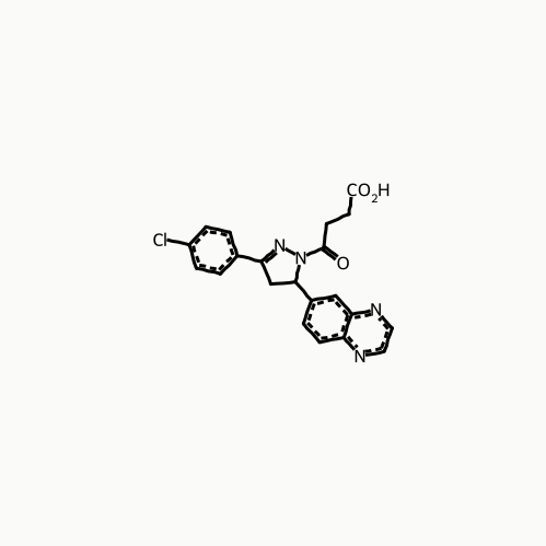 O=C(O)CCC(=O)N1N=C(c2ccc(Cl)cc2)CC1c1ccc2nccnc2c1